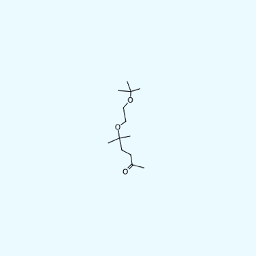 CC(=O)CCC(C)(C)OCCOC(C)(C)C